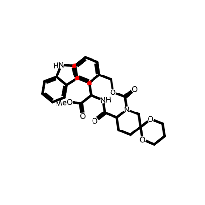 COC(=O)C(Cc1c[nH]c2ccccc12)NC(=O)C1CCC2(CN1C(=O)OCc1ccccc1)OCCCO2